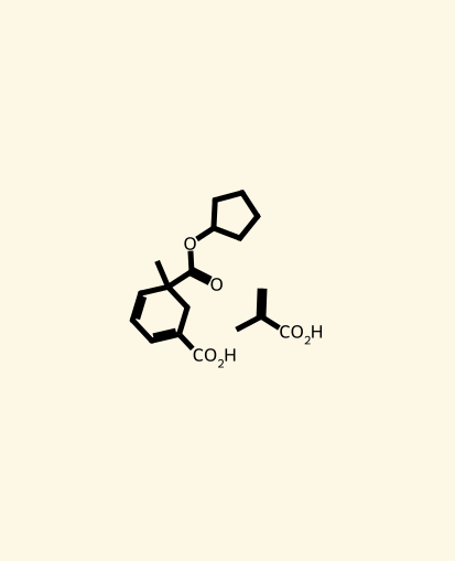 C=C(C)C(=O)O.CC1(C(=O)OC2CCCC2)C=CC=C(C(=O)O)C1